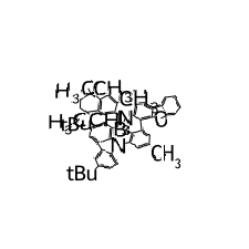 Cc1cc2c3c(c1)-n1c4ccc(C(C)(C)C)cc4c4cc(C(C)(C)C)cc(c41)B3N(c1cc3c(cc1C)C(C)(C)CCC3(C)C)c1ccc3c(oc4ccccc43)c1-2